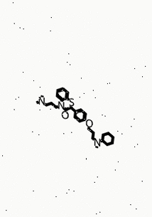 CN(C)CCCN1C(=O)C(c2ccc(OCCCN(C)C3CCCCC3)cc2)Sc2ccccc21